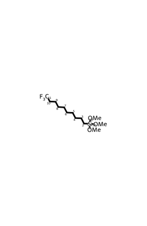 CO[Si](CCCCCCCCCC(F)(F)F)(OC)OC